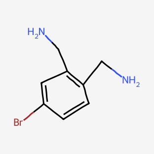 NCc1ccc(Br)cc1CN